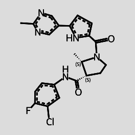 Cc1ncc(-c2ccc(C(=O)N3CC[C@H](C(=O)Nc4ccc(F)c(Cl)c4)[C@@H]3C)[nH]2)cn1